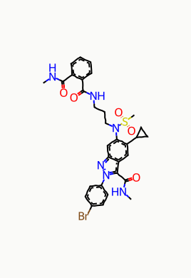 CNC(=O)c1ccccc1C(=O)NCCCN(c1cc2nn(-c3ccc(Br)cc3)c(C(=O)NC)c2cc1C1CC1)S(C)(=O)=O